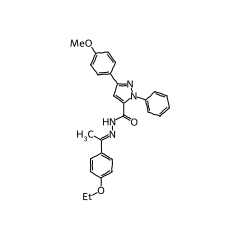 CCOc1ccc(/C(C)=N/NC(=O)c2cc(-c3ccc(OC)cc3)nn2-c2ccccc2)cc1